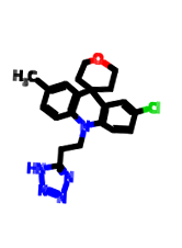 Cc1ccc2c(c1)C1(CCOCC1)c1cc(Cl)ccc1N2CCc1nnn[nH]1